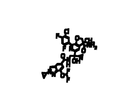 C[C@]1(C(N)=O)COc2c1cc(C(O)(CNC(=O)c1cc(OC(F)F)c3nn(C4CC4)cc3c1)C1CC1)nc2-c1cc(Cl)c(F)cc1F